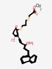 COC(=O)CSCCCSC1C(=O)C[C@@H](O)[C@@H]1C=CC(O)CCc1cccc2ccccc12